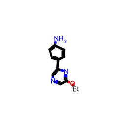 CCOc1cncc(-c2ccc(N)cc2)n1